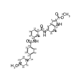 COC(=O)c1cc2cc(NC(=O)c3cccc(NC(=O)c4ccc(CN5CCN(C)CC5)cc4)n3)cnc2[nH]1